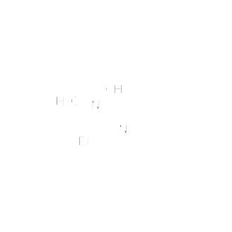 CCC(N(C)C)n1[c]cc2ccccc21